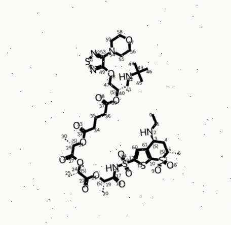 CCN[C@H]1C[C@H](C)S(=O)(=O)c2sc(S(=O)(=O)NC(=O)[C@H](C)OC(=O)[C@H](C)OC(=O)[C@H](C)OC(=O)CCCC(=O)O[C@@H](CNC(C)(C)C)COc3nsnc3N3CCOCC3)cc21